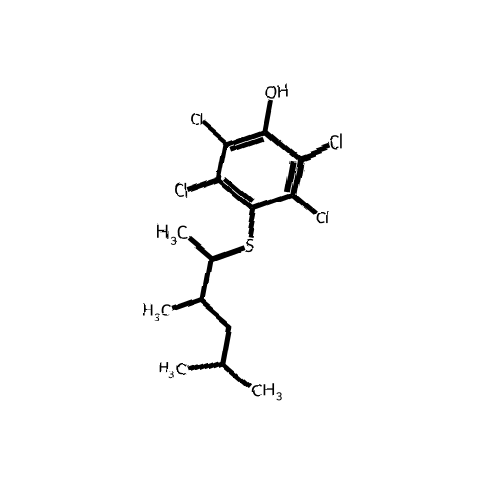 CC(C)CC(C)C(C)Sc1c(Cl)c(Cl)c(O)c(Cl)c1Cl